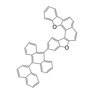 c1ccc2c(-c3c4ccccc4c(-c4ccc5c(c4)oc4ccc6ccc7c8ccccc8oc7c6c45)c4ccccc34)cccc2c1